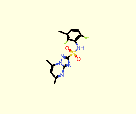 Cc1cc(C)n2nc(S(=O)(=O)Nc3c(F)ccc(C)c3F)nc2n1